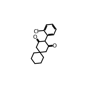 O=C1CC2(CCCCC2)CC(=O)C1c1ccccc1Cl